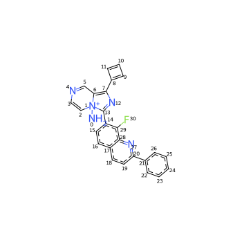 N[N+]12C=CN=CC1=C(C1=CC=C1)N=C2c1ccc2ccc(-c3ccccc3)nc2c1F